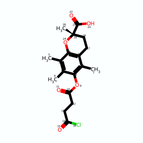 Cc1c(C)c2c(c(C)c1OC(=O)CCC(=O)Cl)CC[C@@](C)(C(=O)O)O2